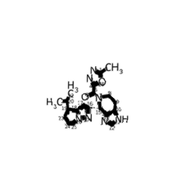 Cc1nnc(C(=O)N2CCc3[nH]cnc3[C@@H]2c2cc3c(C(C)C)cccn3n2)o1